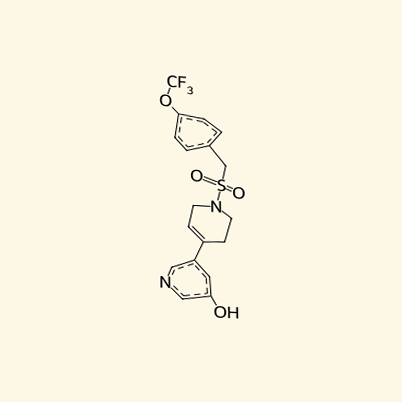 O=S(=O)(Cc1ccc(OC(F)(F)F)cc1)N1CC=C(c2cncc(O)c2)CC1